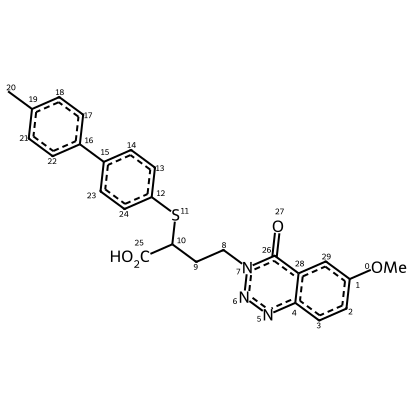 COc1ccc2nnn(CCC(Sc3ccc(-c4ccc(C)cc4)cc3)C(=O)O)c(=O)c2c1